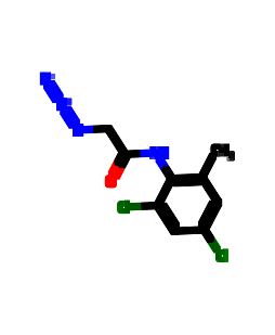 Cc1cc(Cl)cc(Cl)c1NC(=O)CN=[N+]=[N-]